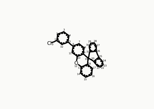 Clc1cccc(-c2ccc3c(c2)Oc2ccccc2C32c3ccccc3-c3ccccc32)c1